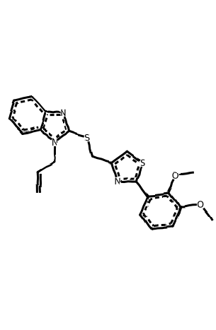 C=CCn1c(SCc2csc(-c3cccc(OC)c3OC)n2)nc2ccccc21